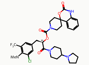 CNc1c(Cl)cc(C[C@@H](OC(=O)N2CCC3(CC2)OC(=O)Nc2ccccc23)C(=O)N2CCC(N3CCCC3)CC2)cc1C(F)(F)F